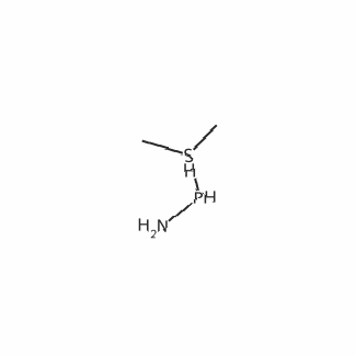 C[SH](C)PN